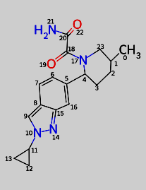 CC1CCC(c2ccc3cn(C4CC4)nc3c2)N(C(=O)C(N)=O)C1